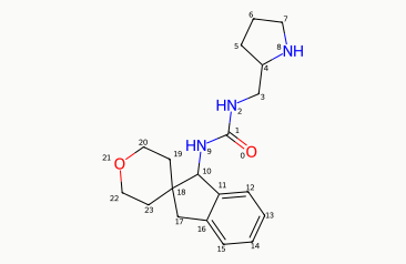 O=C(NCC1CCCN1)NC1c2ccccc2CC12CCOCC2